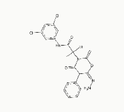 C=C1OC(=NN)C(c2ccccc2)C(=O)N1C(C)(CC)C(=O)Nc1cc(Cl)cc(Cl)c1